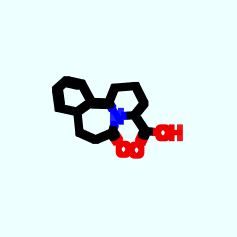 O=C(O)C1CCCC2=C3C=CC=CC3CCC(=O)N21